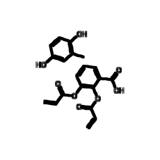 C=CC(=O)Oc1cccc(C(=O)O)c1OC(=O)C=C.Cc1cc(O)ccc1O